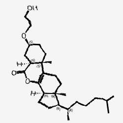 CC(C)CCC[C@@H](C)[C@H]1CC[C@H]2C3=C(CC[C@]12C)[C@@]1(C)CC[C@H](OCCO)C[C@@H]1C(=O)O3